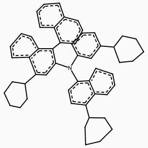 c1cc(C2CCCCC2)cc(N(c2cc(C3CCCCC3)c3ccccc3c2-c2cccc3ccccc23)c2ccc(C3CCCCC3)c3ccccc23)c1